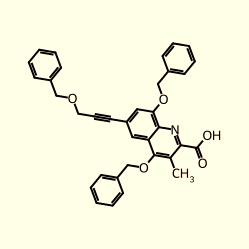 Cc1c(C(=O)O)nc2c(OCc3ccccc3)cc(C#CCOCc3ccccc3)cc2c1OCc1ccccc1